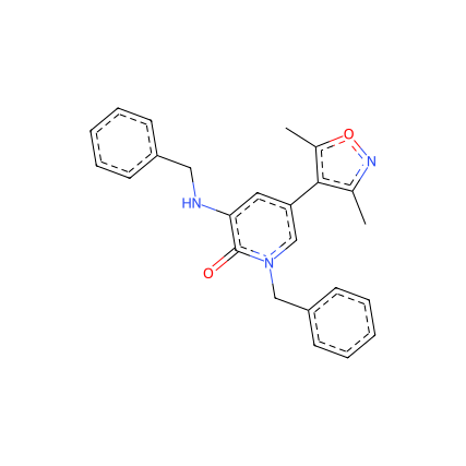 Cc1noc(C)c1-c1cc(NCc2ccccc2)c(=O)n(Cc2ccccc2)c1